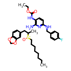 CCCCCCCC[S+]([O-])C(C)Cc1ccc2c(c1)OCO2.CCOC(=O)Nc1ccc(NCc2ccc(F)cc2)nc1N